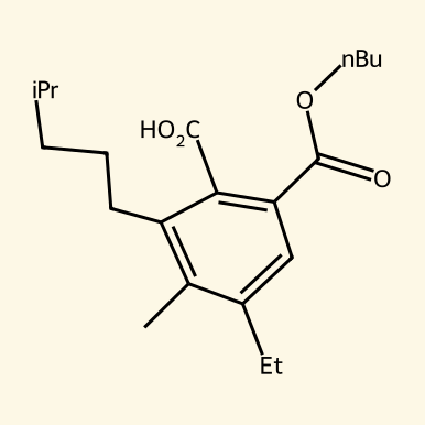 CCCCOC(=O)c1cc(CC)c(C)c(CCCC(C)C)c1C(=O)O